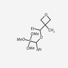 CCCC(OC(CC)C1(C)COC1)[Si](OC)(OC)OC